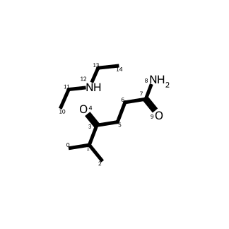 CC(C)C(=O)CCC(N)=O.CCNCC